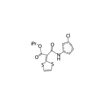 CC(C)OC(=O)C(C(=O)Nc1cccc(Cl)c1)=C1SC=CS1